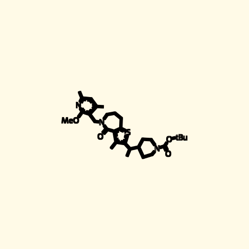 COc1nc(C)cc(C)c1CN1CCCc2sc(C(C)C3CCN(C(=O)OC(C)(C)C)CC3)c(C)c2C1=O